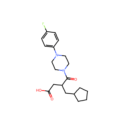 O=C(O)CC(CC1CCCC1)C(=O)N1CCN(c2ccc(F)cc2)CC1